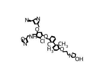 Cc1c(COc2cc(OCc3cncc(C#N)c3)c(CNCc3cnco3)cc2Cl)cccc1-c1cccc(OCCCN2CCC(O)C2)c1C